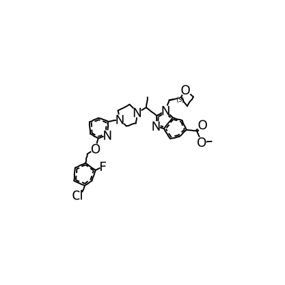 COC(=O)c1ccc2nc(C(C)N3CCN(c4cccc(OCc5ccc(Cl)cc5F)n4)CC3)n(C[C@@H]3CCO3)c2c1